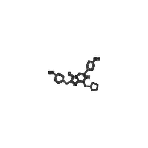 O=Nc1ccc(Cc2nc3c(CC4CCCC4)[nH]c(-c4ccc(O)cc4)cn-3c2=O)cc1